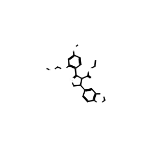 CCOC(=O)C1C(c2ccc(OC)cc2OCOC)=NCC1c1ccc2c(c1)OCO2